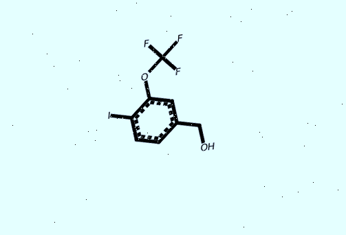 OCc1ccc(I)c(OC(F)(F)F)c1